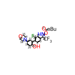 CCCCC(=O)ONC(c1ccc(-c2cc(N3CCOCC3)ccc2O)c(F)c1)C(F)(F)F